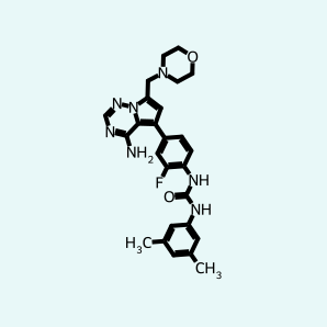 Cc1cc(C)cc(NC(=O)Nc2ccc(-c3cc(CN4CCOCC4)n4ncnc(N)c34)cc2F)c1